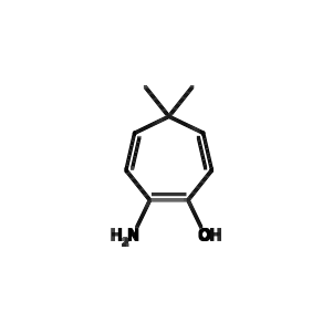 CC1(C)C=CC(N)=C(O)C=C1